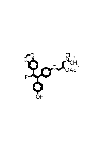 CCC(=C(c1ccc(O)cc1)c1ccc(OCC(CN(C)C)OC(C)=O)cc1)c1ccc2c(c1)OCO2